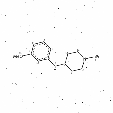 CCCN1CCC(Nc2cccc(OC)c2)CC1